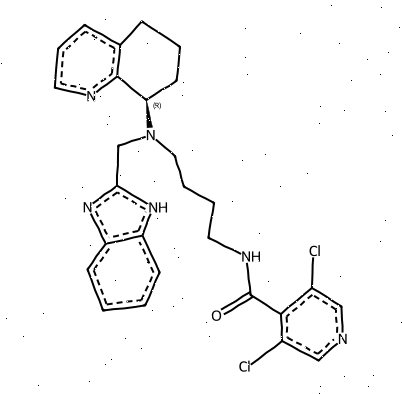 O=C(NCCCCN(Cc1nc2ccccc2[nH]1)[C@@H]1CCCc2cccnc21)c1c(Cl)cncc1Cl